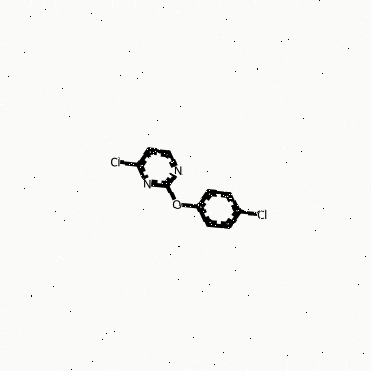 Clc1ccc(Oc2nccc(Cl)n2)cc1